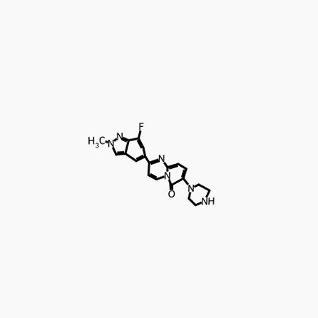 Cn1cc2cc(-c3ccn4c(=O)c(N5CCNCC5)ccc4n3)cc(F)c2n1